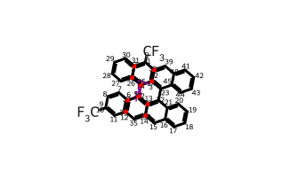 FC(F)(F)c1ccc(P(c2ccc(C(F)(F)F)cc2)c2ccc3ccccc3c2-c2c(P(c3ccccc3)c3ccccc3)ccc3ccccc23)cc1